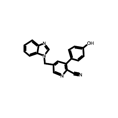 N#Cc1ncc(Cn2cnc3ccccc32)cc1-c1ccc(O)cc1